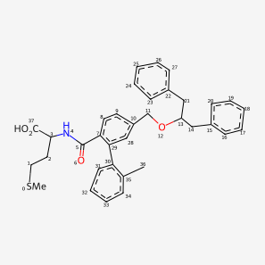 CSCCC(NC(=O)c1ccc(COC(Cc2ccccc2)Cc2ccccc2)cc1-c1ccccc1C)C(=O)O